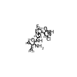 N[C@H](C(=O)Nc1cnn(C(CC(F)F)c2cc(Cl)n[nH]c2=O)c1)C(C1CC1)C1CC1